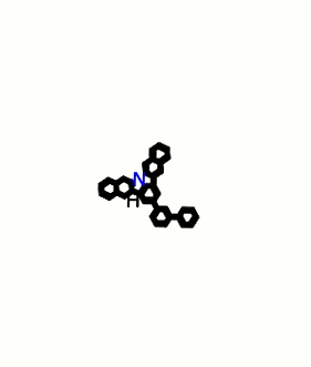 C1=CC2CC3[C@@H](CC2C=C1)c1cc(-c2cccc(-c4ccccc4)c2)cc2c4cc5ccccc5cc4n3c12